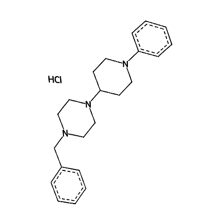 Cl.c1ccc(CN2CCN(C3CCN(c4ccccc4)CC3)CC2)cc1